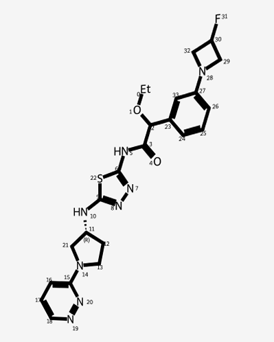 CCOC(C(=O)Nc1nnc(N[C@@H]2CCN(c3cccnn3)C2)s1)c1cccc(N2CC(F)C2)c1